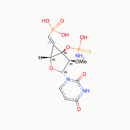 CO[C@H]1[C@H](n2ccc(=O)[nH]c2=O)O[C@@H]2/C(=C/P(=O)(O)O)[C@@]21OP(N)(O)=S